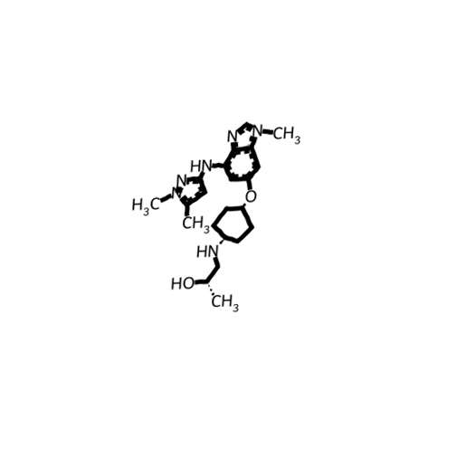 Cc1cc(Nc2cc(O[C@H]3CC[C@@H](NC[C@H](C)O)CC3)cc3c2ncn3C)nn1C